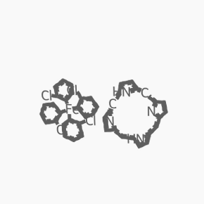 C1=Cc2cc3ccc(cc4nc(cc5ccc(cc1n2)[nH]5)C=C4)[nH]3.Clc1cccc[c]1[Fe]([c]1ccccc1Cl)([c]1ccccc1Cl)[c]1ccccc1Cl